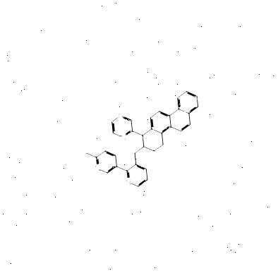 Clc1ccc(-c2ncccc2CC2CCc3c(ccc4c3ccc3ccccc34)C2c2cnccn2)cn1